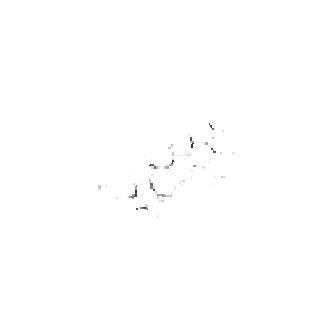 CN(C)[C@@H]1C(O)=C(C(N)=O)C(=O)[C@@]2(O)C(O)=C3C(=O)c4c(O)c(NC=O)cc(I)c4CC3CC12